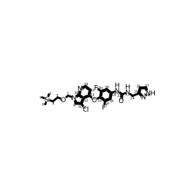 C[Si](C)(C)CCOCn1cc(Cl)c2c(Oc3c(F)cc(NC(=O)NCc4cc[nH]n4)cc3F)ccnc21